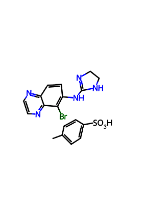 Brc1c(NC2=NCCN2)ccc2nccnc12.Cc1ccc(S(=O)(=O)O)cc1